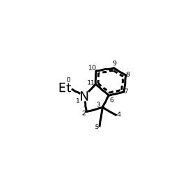 CCN1CC(C)(C)c2ccccc21